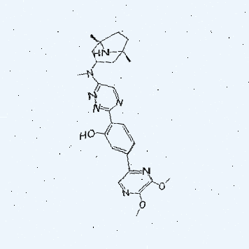 COc1ncc(-c2ccc(-c3ncc(N(C)[C@H]4C[C@]5(C)CC[C@](C)(C4)N5)nn3)c(O)c2)nc1OC